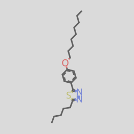 CCCCCCCCCOc1ccc(-c2nnc(CCCCC)s2)cc1